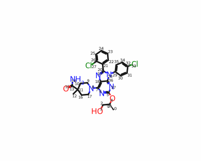 C[C@@H](CO)Oc1nc(N2CCC(C)(C(N)=O)CC2)c2nc(-c3ccccc3Cl)n(-c3ccc(Cl)cc3)c2n1